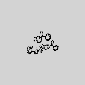 CC1CN(C(=O)c2ccccc2)CCN1.CC1CN(C(=O)c2ccccc2)CCN1S(=O)(=O)c1ccc(-c2ccon2)s1